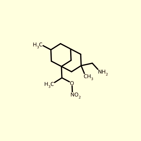 CC1CC2CC(C)(CN)CC(C(C)O[N+](=O)[O-])(C1)C2